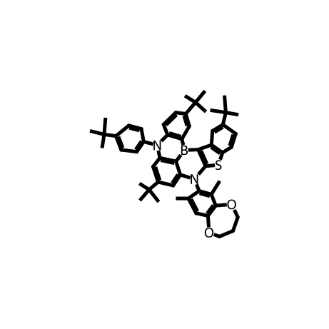 Cc1cc2c(c(C)c1N1c3cc(C(C)(C)C)cc4c3B(c3cc(C(C)(C)C)ccc3N4c3ccc(C(C)(C)C)cc3)c3c1sc1ccc(C(C)(C)C)cc31)OCCCO2